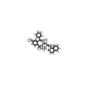 CN1C(=O)C(NC(=S)Nc2nccc3ccccc23)N=C(c2ccccc2)c2cc(Cl)ccc21